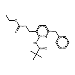 CCOC(=O)CCc1ccc(Cc2ccccc2)nc1NC(=O)C(C)(C)C